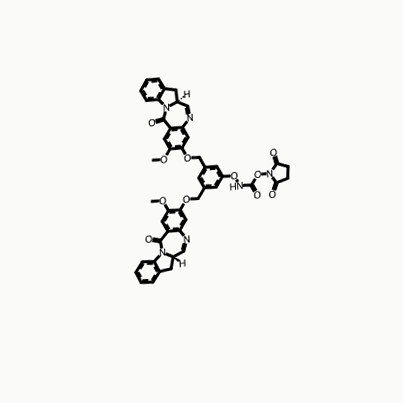 COc1cc2c(cc1OCc1cc(COc3cc4c(cc3OC)C(=O)N3c5ccccc5C[C@H]3C=N4)cc(ONC(=O)ON3C(=O)CCC3=O)c1)N=C[C@@H]1Cc3ccccc3N1C2=O